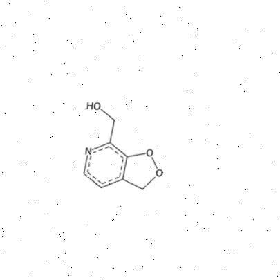 OCc1nccc2c1OOC2